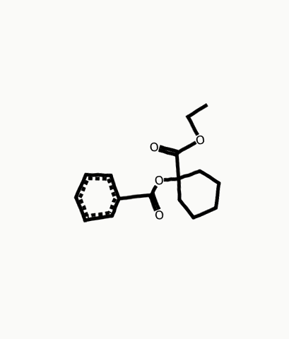 CCOC(=O)C1(OC(=O)c2ccccc2)CCCCC1